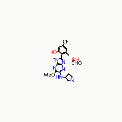 COc1nc2c(nc1NC1CCN(C)C1)nc(-c1c(C)cc(C(F)(F)F)cc1O)n2C.O=CO